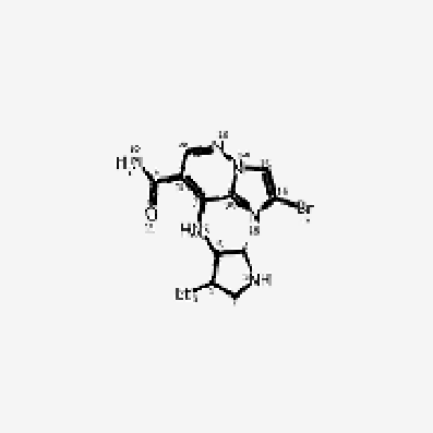 CCC1CNCC1Nc1c(C(N)=O)cnn2cc(Br)nc12